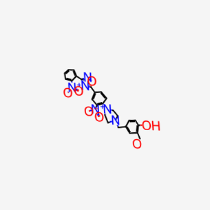 O=Cc1cc(CN2CCN(c3ccc(-c4nc(-c5ccccc5[N+](=O)[O-])no4)cc3[N+](=O)[O-])CC2)ccc1O